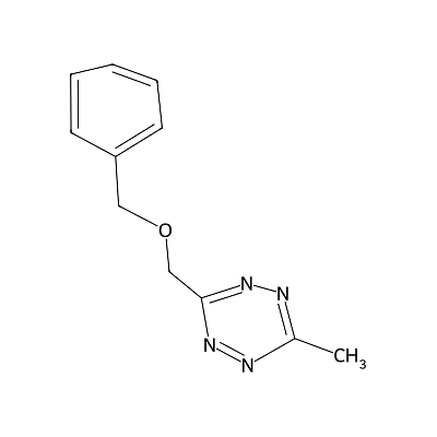 Cc1nnc(COCc2ccccc2)nn1